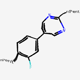 CCCCCc1ncc(-c2ccc(CCCCC)c(F)c2)cn1